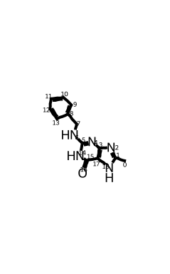 Cc1nc2nc(NCc3ccccc3)[nH]c(=O)c2[nH]1